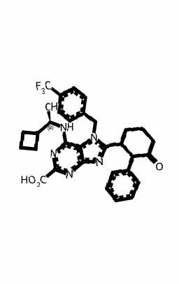 C[C@@H](Nc1nc(C(=O)O)nc2nc(C3CCCC(=O)C3c3ccccc3)n(Cc3ccc(C(F)(F)F)cc3)c12)C1CCC1